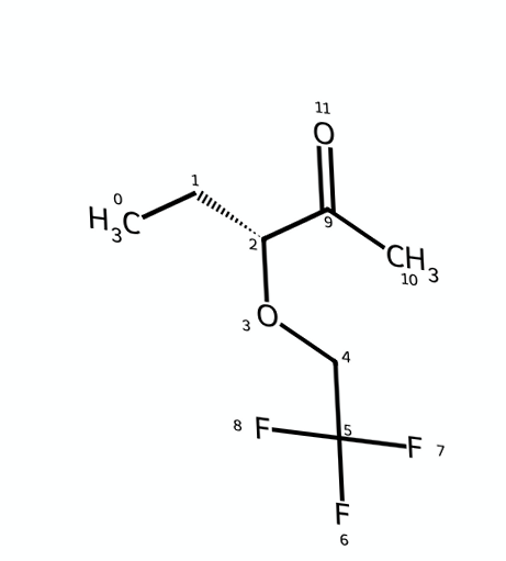 CC[C@@H](OCC(F)(F)F)C(C)=O